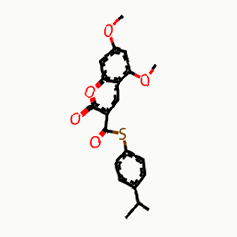 COc1cc(OC)c2cc(C(=O)Sc3ccc(C(C)C)cc3)c(=O)oc2c1